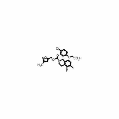 Cc1cc(COC(=O)N2CCc3c(ccc(F)c3F)[C@H]2c2cc(Cl)ccc2OCC(=O)O)on1